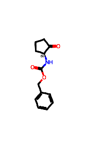 O=C(N[C@H]1CCCC1=O)OCc1ccccc1